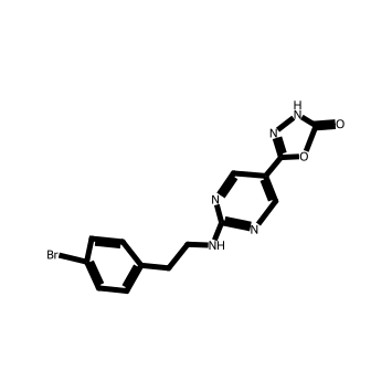 O=c1[nH]nc(-c2cnc(NCCc3ccc(Br)cc3)nc2)o1